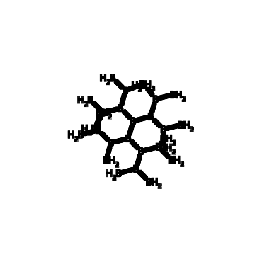 BB(B)B(B)B(B(B(B)B)B(B)B)B(B(B(B)B)B(B)B)B(B(B)B)B(B)B